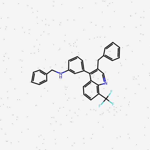 FC(F)(F)c1cccc2c(-c3cccc(NCc4cc[c]cc4)c3)c(Cc3ccccc3)cnc12